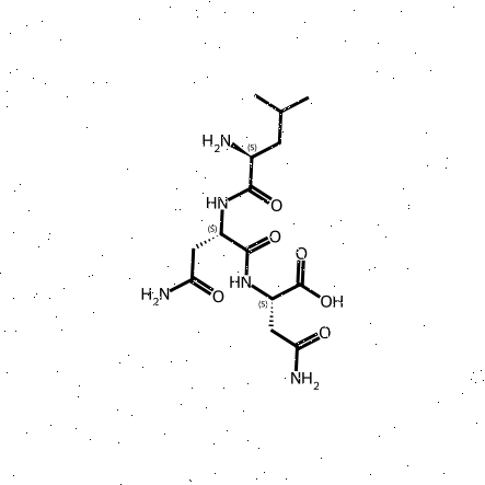 CC(C)C[C@H](N)C(=O)N[C@@H](CC(N)=O)C(=O)N[C@@H](CC(N)=O)C(=O)O